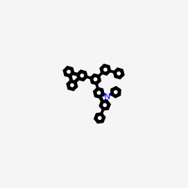 c1ccc(-c2cccc(-c3cc(-c4ccc5c6ccccc6c6ccccc6c5c4)cc(-c4ccc5c6cc(-c7ccccc7)ccc6n(-c6ccccc6)c5c4)c3)c2)cc1